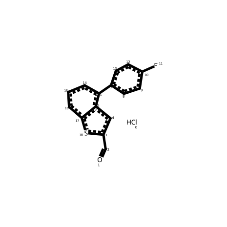 Cl.O=Cc1cc2c(-c3ccc(F)cc3)cccc2s1